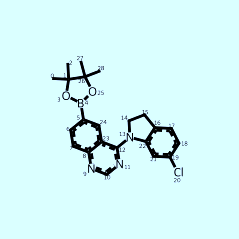 CC1(C)OB(c2ccc3ncnc(N4CCc5ccc(Cl)cc54)c3c2)OC1(C)C